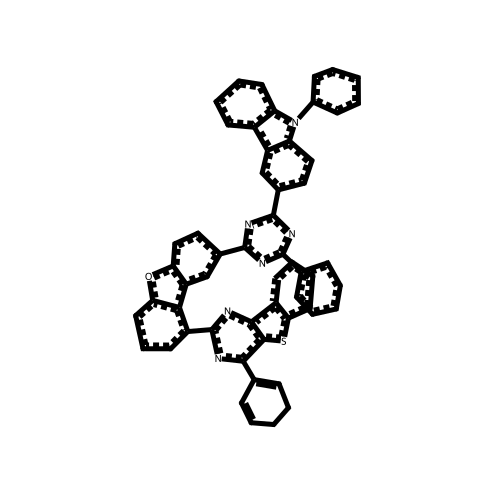 C1=CC(c2nc(-c3cccc4oc5ccc(-c6nc(-c7ccccc7)nc(-c7ccc8c(c7)c7ccccc7n8-c7ccccc7)n6)cc5c34)nc3c2sc2ccccc23)=CCC1